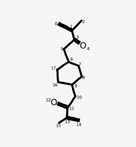 C=C(C)C(=O)CC1CCC(CC(=O)C(=C)C)CC1